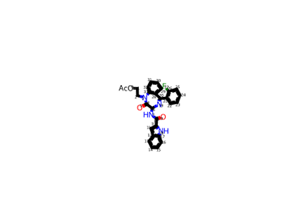 CC(=O)OCCN1C(=O)C(NC(=O)c2cc3ccccc3[nH]2)N=C(c2ccccc2F)c2ccccc21